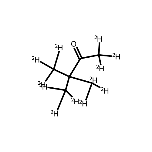 [2H]C([2H])([2H])C(=O)C(C([2H])([2H])[2H])(C([2H])([2H])[2H])C([2H])([2H])[2H]